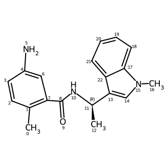 Cc1ccc(N)cc1C(=O)N[C@H](C)c1cn(C)c2ccccc12